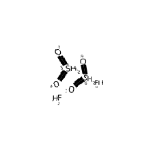 F.F.O=[SH2]=O.O=[SH2]=O